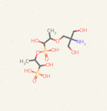 CC(OP(=O)(O)C(O)C(C)OCC(N)(CO)CO)C(O)P(=O)(O)O